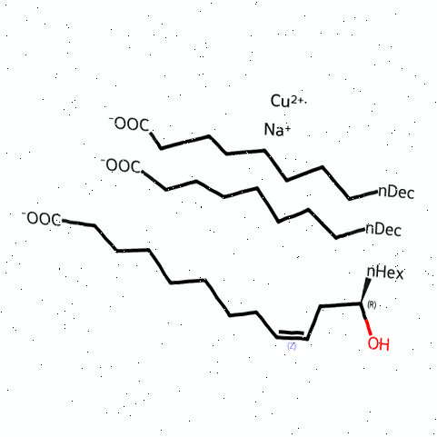 CCCCCCCCCCCCCCCCCC(=O)[O-].CCCCCCCCCCCCCCCCCC(=O)[O-].CCCCCC[C@@H](O)C/C=C\CCCCCCCC(=O)[O-].[Cu+2].[Na+]